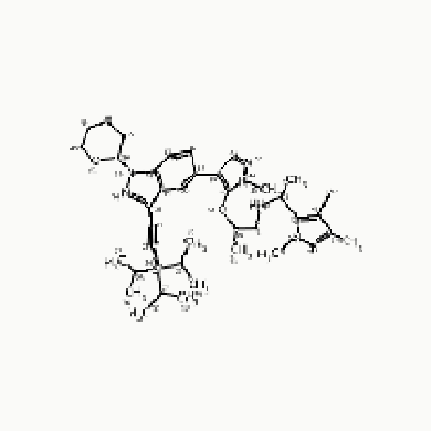 Cc1nn(C)c(C(C)NCC(C)Oc2c(-c3ccc4c(c3)c(C#C[Si](C(C)C)(C(C)C)C(C)C)nn4C3CCCCO3)cnn2C)c1I